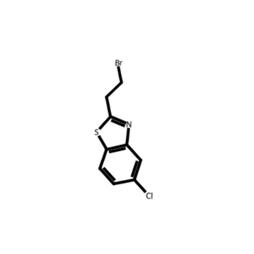 Clc1ccc2sc(CCBr)nc2c1